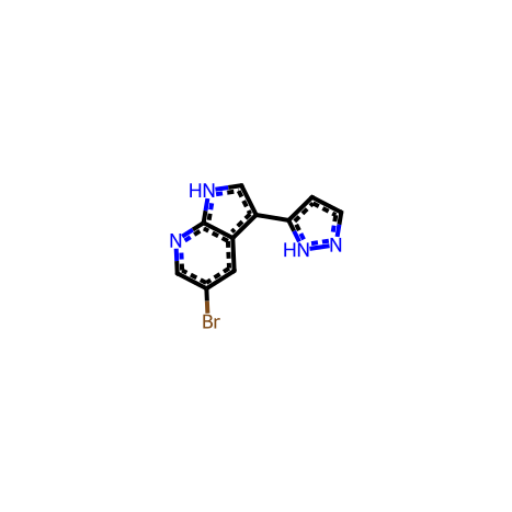 Brc1cnc2[nH]cc(-c3ccn[nH]3)c2c1